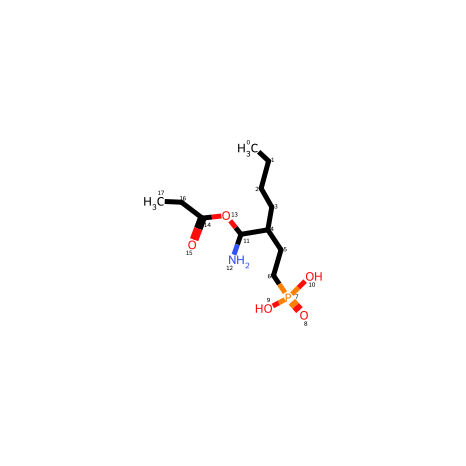 CCCCC(CCP(=O)(O)O)C(N)OC(=O)CC